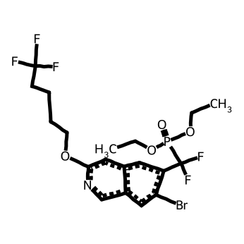 CCOP(=O)(OCC)C(F)(F)c1cc2cc(OCCCCC(F)(F)F)ncc2cc1Br